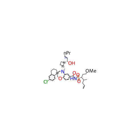 C=CCC(C)C(CCOC)S(=O)(=O)NC(=O)c1ccc2c(c1)N(C[C@@H]1CC[C@@H]1C(O)/C=C/CCC)C[C@@]1(CCCc3cc(Cl)ccc31)CO2